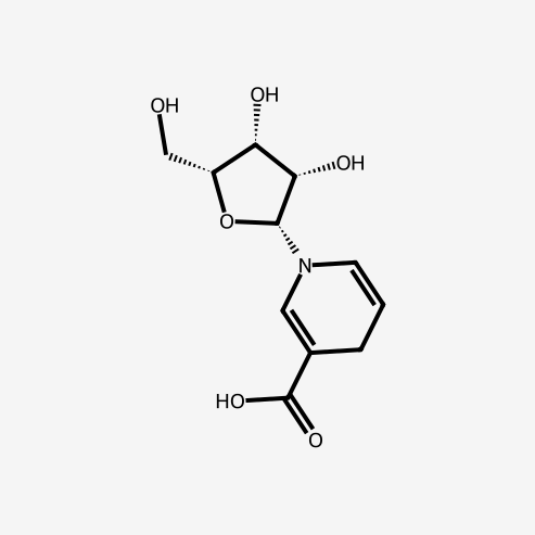 O=C(O)C1=CN([C@@H]2O[C@H](CO)[C@H](O)[C@@H]2O)C=CC1